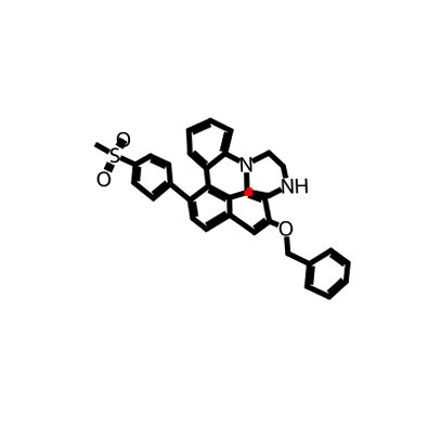 CS(=O)(=O)c1ccc(-c2ccc3cc(OCc4ccccc4)ccc3c2-c2ccccc2N2CCNCC2)cc1